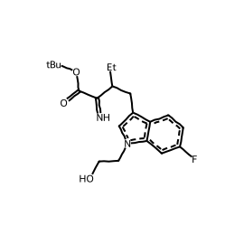 CCC(Cc1cn(CCO)c2cc(F)ccc12)C(=N)C(=O)OC(C)(C)C